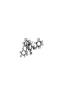 S=C(Nc1ccccc1)N(Cc1ccccc1)Cc1ccccc1